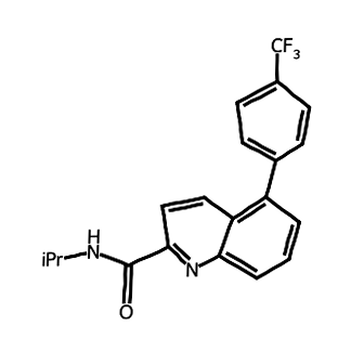 CC(C)NC(=O)c1ccc2c(-c3ccc(C(F)(F)F)cc3)cccc2n1